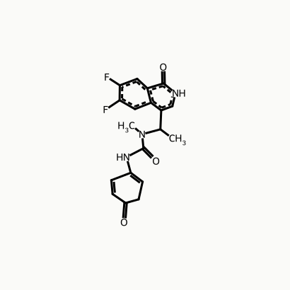 CC(c1c[nH]c(=O)c2cc(F)c(F)cc12)N(C)C(=O)NC1=CCC(=O)C=C1